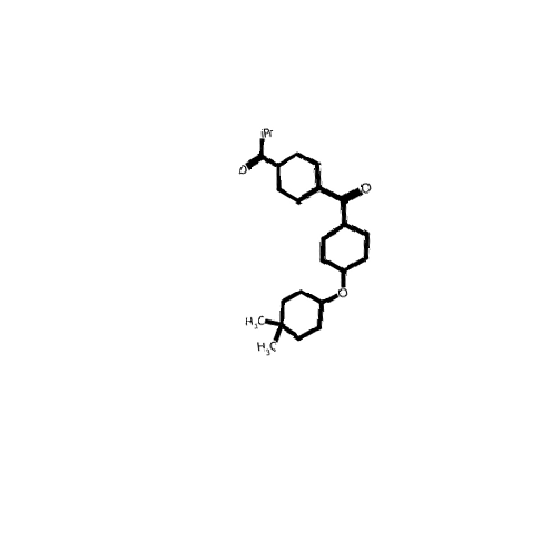 CC(C)C(=O)C1CCC(C(=O)C2CCC(OC3CCC(C)(C)CC3)CC2)CC1